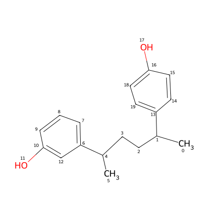 CC(CCC(C)c1cccc(O)c1)c1ccc(O)cc1